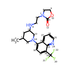 CC1CC(NCCN2CCOC2=O)CN(c2ccc(C(F)(F)F)c3ncccc23)C1